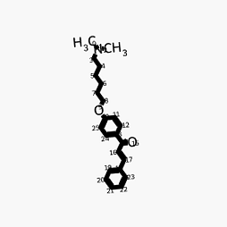 CN(C)CCCCCCOc1ccc(C(=O)C=Cc2ccccc2)cc1